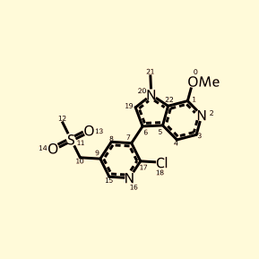 COc1nccc2c(-c3cc(CS(C)(=O)=O)cnc3Cl)cn(C)c12